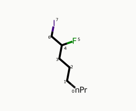 CCCCCCC(F)CI